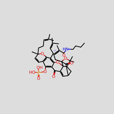 CCCCNC(=O)/C(C)=C\CC12OC(C)(C)C3CC(C=C4C(=O)c5c(OP(=O)(O)O)c6c(c(CC=C(C)C)c5OC431)OC(C)(CCC=C(C)C)C=C6)C2=O